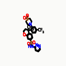 C[C@@]1(c2ccc(C(F)(F)F)cc2N2CCS(=O)(=O)CC2)CCOc2cc(S(=O)(=O)Nc3cccnn3)ccc21